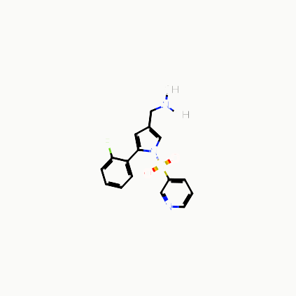 CN(C)Cc1cc(-c2ccccc2F)n(S(=O)(=O)c2cccnc2)c1